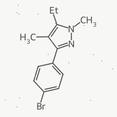 CCc1c(C)c(-c2ccc(Br)cc2)nn1C